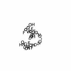 C#Cc1c(F)ccc2cc(O)cc(-c3ncc4c(N5CC6CCC(C5)N6)nc(OCCN5CCC(CC6CCN(CC7CCN(c8cc(F)c9c(c8F)n(C)c(=O)n9C8CCC(=O)NC8=O)CC7)CC6)CC5)nc4c3F)c12